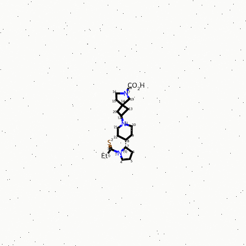 CCC(=S)N1CCC[C@H]1C1CCN(C2CC3(CCN(C(=O)O)C3)C2)CC1